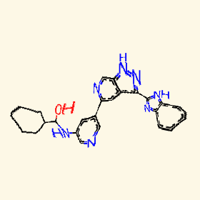 OC(Nc1cncc(-c2cc3c(-c4nc5ccccc5[nH]4)n[nH]c3cn2)c1)C1CCCCC1